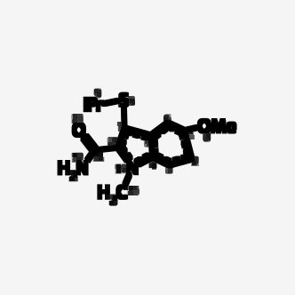 COc1ccc2c(c1)c(SC(C)C)c(C(N)=O)n2C